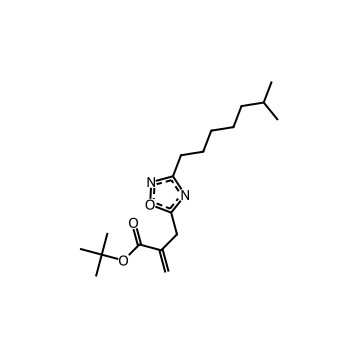 C=C(Cc1nc(CCCCCC(C)C)no1)C(=O)OC(C)(C)C